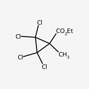 CCOC(=O)C1(C)C(Cl)(Cl)C1(Cl)Cl